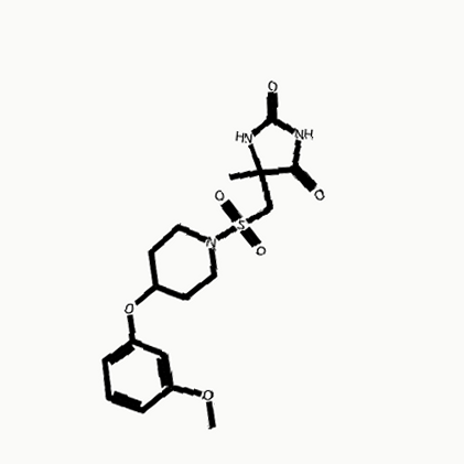 COc1cccc(OC2CCN(S(=O)(=O)CC3(C)NC(=O)NC3=O)CC2)c1